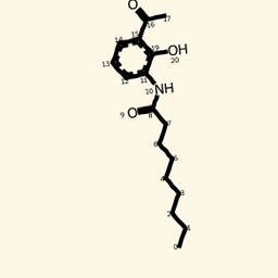 CCCCCCCCC(=O)Nc1cccc(C(C)=O)c1O